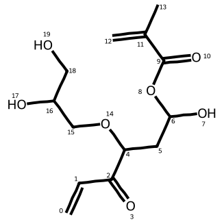 C=CC(=O)C(CC(O)OC(=O)C(=C)C)OCC(O)CO